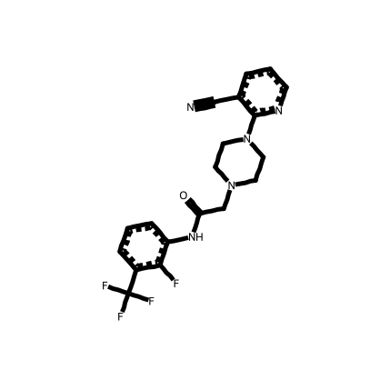 N#Cc1cccnc1N1CCN(CC(=O)Nc2cccc(C(F)(F)F)c2F)CC1